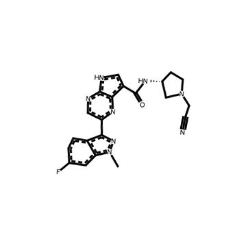 Cn1nc(-c2cnc3[nH]cc(C(=O)N[C@@H]4CCN(CC#N)C4)c3n2)c2ccc(F)cc21